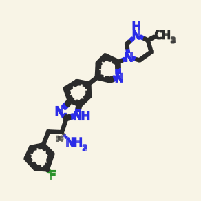 CC1CCN(c2ccc(-c3ccc4nc([C@H](N)Cc5cccc(F)c5)[nH]c4c3)cn2)CN1